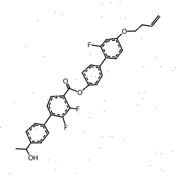 C=CCCOc1ccc(-c2ccc(OC(=O)c3ccc(-c4ccc(C(C)O)cc4)c(F)c3F)cc2)c(F)c1